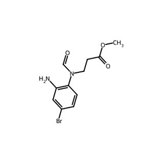 COC(=O)CCN(C=O)c1ccc(Br)cc1N